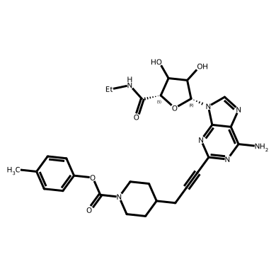 CCNC(=O)[C@H]1O[C@@H](n2cnc3c(N)nc(C#CCC4CCN(C(=O)Oc5ccc(C)cc5)CC4)nc32)C(O)C1O